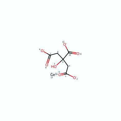 O=C([O-])CC(O)(CC(=O)[O-])C(=O)[O-].[Ge+3]